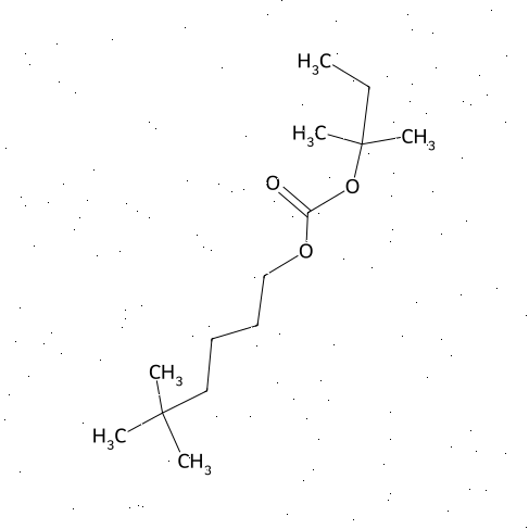 CCC(C)(C)OC(=O)OCCCCC(C)(C)C